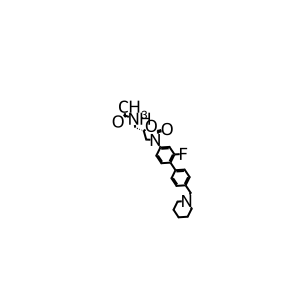 CC(=O)NC[C@H]1CN(c2ccc(-c3ccc(CN4CCCCC4)cc3)c(F)c2)C(=O)O1